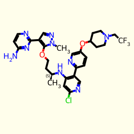 C[C@@H](CCOc1c(-c2nccc(N)n2)cnn1C)Nc1cc(Cl)ncc1-c1ccc(OC2CCN(CC(F)(F)F)CC2)cn1